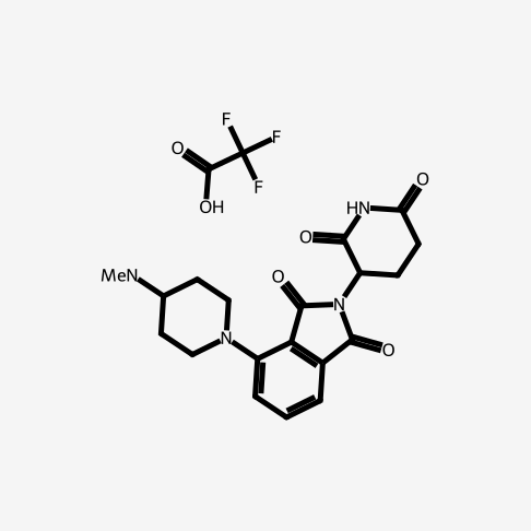 CNC1CCN(c2cccc3c2C(=O)N(C2CCC(=O)NC2=O)C3=O)CC1.O=C(O)C(F)(F)F